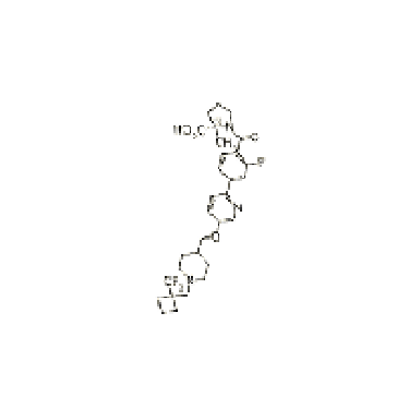 C[C@@]1(C(=O)O)CCCN1C(=O)c1ccc(-c2ccc(OCC3CCN(CC4(C(F)(F)F)CCC4)CC3)cn2)cc1F